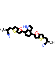 C/C(C#N)=C/c1cc2oc(-c3ccc(-c4cc5sc(/C=C(/C)C#N)cc5o4)c4[nH]ccc34)cc2s1